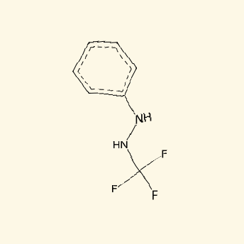 FC(F)(F)NNc1ccccc1